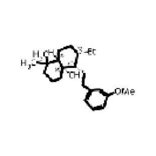 CC[C@H]1CC[C@H]2C(C)(C)CCC[C@]2(C)[C@H]1CCc1cccc(OC)c1